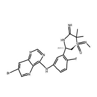 CN=[S@@]1(=O)C[C@@](C)(c2cc(Nc3ncnc4cc(Br)cnc34)ccc2F)NC(=N)C1(C)C